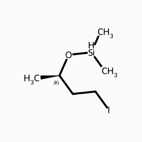 C[C@H](CCI)O[SiH](C)C